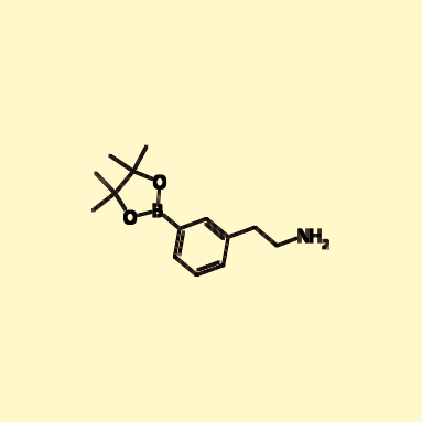 CC1(C)OB(c2cccc(CCN)c2)OC1(C)C